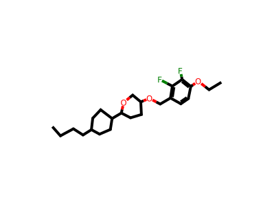 CCCCC1CCC(C2CCC(OCc3ccc(OCC)c(F)c3F)CO2)CC1